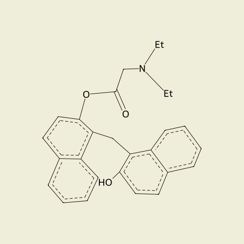 CCN(CC)CC(=O)Oc1ccc2ccccc2c1Cc1c(O)ccc2ccccc12